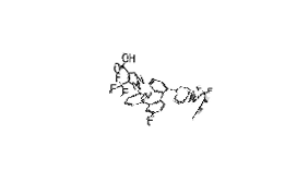 O=C(O)c1cnn(-c2cccc(-c3cc(F)ccc3-c3ccccc3C3CCN(CC(F)(F)F)CC3)n2)c1C(F)(F)F